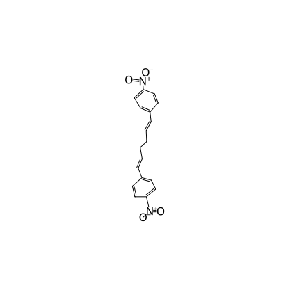 O=[N+]([O-])c1ccc(C=CCCC=Cc2ccc([N+](=O)[O-])cc2)cc1